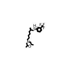 C=C(CCCCCN1CC(C)OC(C)C1)C[SiH2]c1cccc(C(F)(F)F)c1